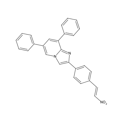 O=[N+]([O-])C=Cc1ccc(-c2cn3cc(-c4ccccc4)cc(-c4ccccc4)c3n2)cc1